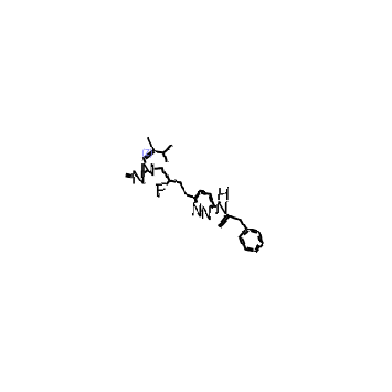 C=NN(/C=C(/C)C(C)C)CC(F)CCc1ccc(NC(=C)Cc2ccccc2)nn1